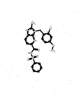 COc1ccc(Cn2c(C)nc3ccc(C(=O)NS(=O)(=O)c4ccccc4)nc32)c(Cl)c1